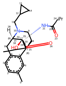 Cc1ccc2c(c1)[C@]13CCN(CC4CC4)[C@H](C2)[C@]1(O)C[C@H](NC(=O)C(C)C)C(=O)C3